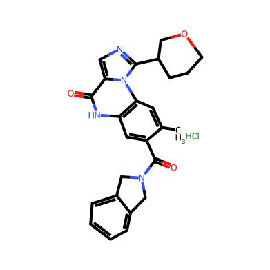 Cc1cc2c(cc1C(=O)N1Cc3ccccc3C1)[nH]c(=O)c1cnc(C3CCCOC3)n12.Cl